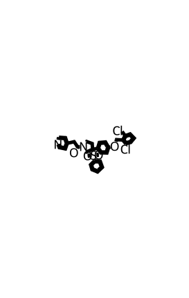 O=C(Cc1ccncc1)N1CCC(c2ccc(OCc3c(Cl)cccc3Cl)cc2)(S(=O)(=O)c2ccccc2)C1